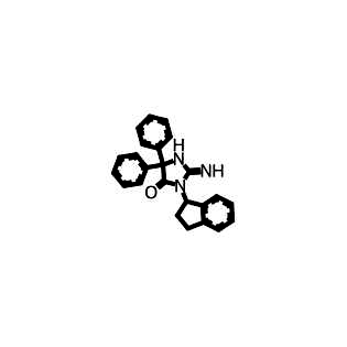 N=C1NC(c2ccccc2)(c2ccccc2)C(=O)N1C1CCc2ccccc21